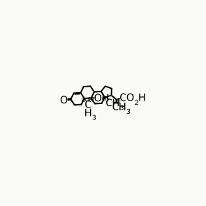 C[C@H](C(=O)O)C1CCC2C3CCC4=CC(=O)CC[C@]4(C)[C@@]3(O)CC[C@@]21C